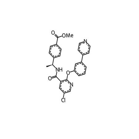 COC(=O)c1ccc([C@H](C)NC(=O)c2cc(Cl)cnc2Oc2cccc(-c3ccncc3)c2)cc1